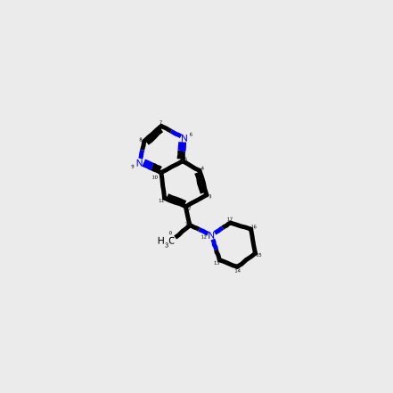 CC(c1ccc2nccnc2c1)N1CCCCC1